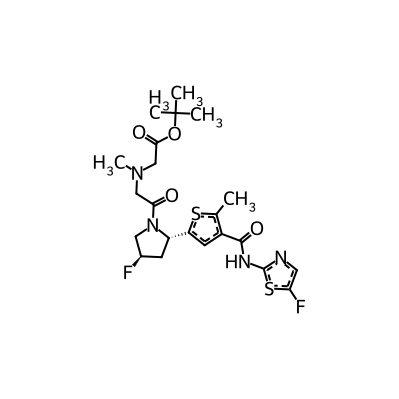 Cc1sc([C@@H]2C[C@@H](F)CN2C(=O)CN(C)CC(=O)OC(C)(C)C)cc1C(=O)Nc1ncc(F)s1